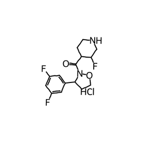 Cl.O=C(C1CCNCC1F)N1OCCC1c1cc(F)cc(F)c1